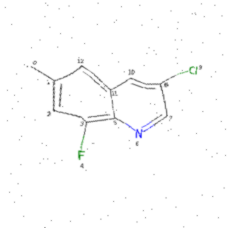 [CH2]c1cc(F)c2ncc(Cl)cc2c1